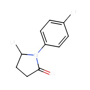 CCC1CCC(=O)N1c1ccc(C(F)(F)F)cc1